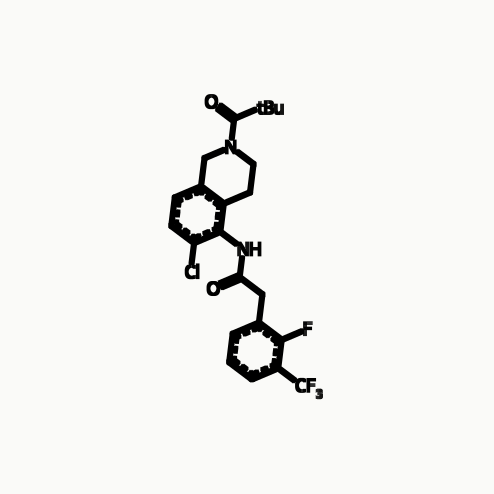 CC(C)(C)C(=O)N1CCc2c(ccc(Cl)c2NC(=O)Cc2cccc(C(F)(F)F)c2F)C1